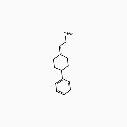 COCC=C1CCC(c2ccccc2)CC1